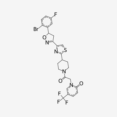 O=C(Cn1cc(C(F)(F)F)ccc1=O)N1CCC(c2nc(C3=NOC(c4cc(F)ccc4Br)C3)cs2)CC1